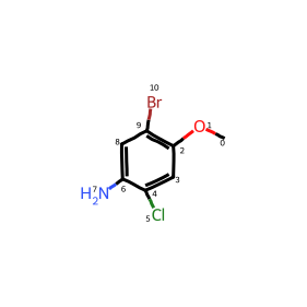 COc1cc(Cl)c(N)cc1Br